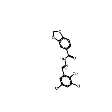 O=C(N/N=C/c1cc(Cl)cc(Cl)c1O)c1ccc2c(c1)OCO2